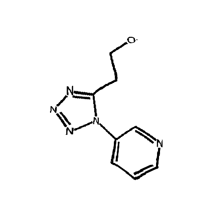 [O]CCc1nnnn1-c1cccnc1